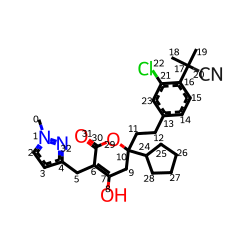 Cn1ccc(CC2=C(O)CC(CCc3ccc(C(C)(C)C#N)c(Cl)c3)(C3CCCC3)OC2=O)n1